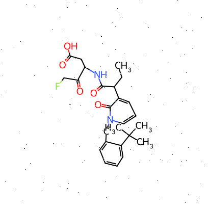 CCC(C(=O)NC(CC(=O)O)C(=O)CF)c1cccn(Cc2ccccc2C(C)(C)C)c1=O